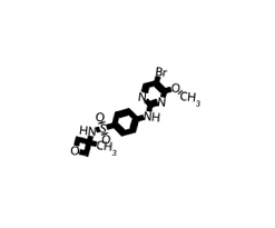 COc1nc(Nc2ccc(S(=O)(=O)NC3(C)COC3)cc2)ncc1Br